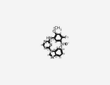 COc1cc(F)c([N+](=O)[O-])cc1Nc1ncnc(-n2cnc3ccccc32)n1